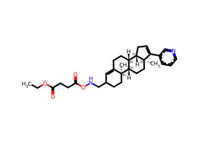 CCOC(=O)CCC(=O)ONCC1C=C2CC[C@H]3[C@H](CC[C@]4(C)C(c5cccnc5)=CC[C@@H]34)[C@@]2(C)CC1